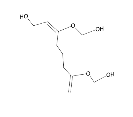 C=C(CCC/C(=C\CO)OCO)OCO